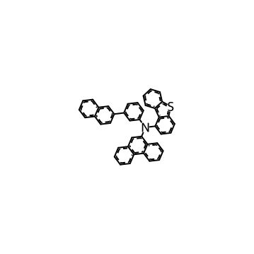 c1cc(-c2ccc3ccccc3c2)cc(N(c2cc3ccccc3c3ccccc23)c2cccc3sc4ccccc4c23)c1